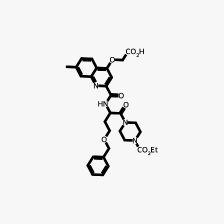 CCOC(=O)N1CCN(C(=O)C(CCOCc2ccccc2)NC(=O)c2cc(OCC(=O)O)c3ccc(C)cc3n2)CC1